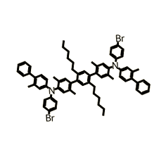 CCCCCCc1cc(-c2cc(C)c(N(c3ccc(Br)cc3)c3ccc(-c4ccccc4)c(C)c3)cc2C)c(CCCCCC)cc1-c1cc(C)c(N(c2ccc(Br)cc2)c2ccc(-c3ccccc3)c(C)c2)cc1C